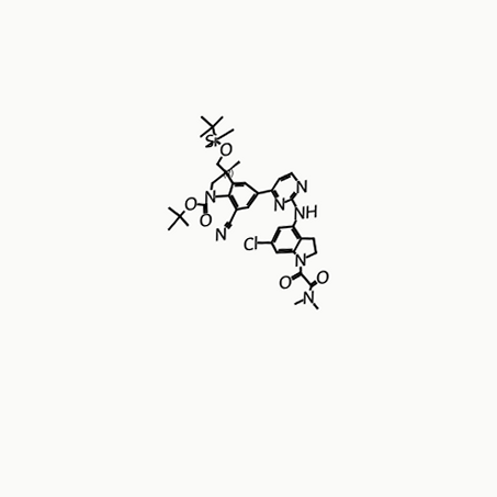 CN(C)C(=O)C(=O)N1CCc2c(Nc3nccc(-c4cc(C#N)c5c(c4)[C@@](C)(CO[Si](C)(C)C(C)(C)C)CN5C(=O)OC(C)(C)C)n3)cc(Cl)cc21